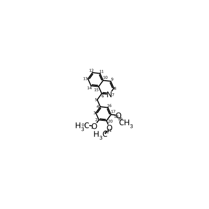 COc1cc(Cc2nccc3ccccc23)cc(OC)c1OC